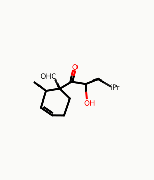 CC(C)CC(O)C(=O)C1(C=O)CCC=CC1C